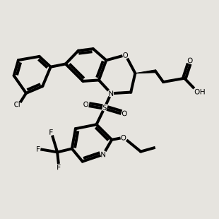 CCOc1ncc(C(F)(F)F)cc1S(=O)(=O)N1C[C@H](CCC(=O)O)Oc2ccc(-c3cccc(Cl)c3)cc21